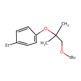 CCc1ccc(OC(C)(C)COC(C)(C)C)cc1